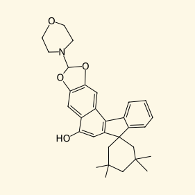 CC1(C)CC(C)(C)CC2(C1)c1ccccc1-c1c2cc(O)c2cc3c(cc12)OC(N1CCOCC1)O3